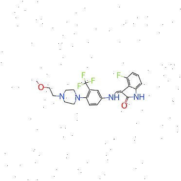 COCCN1CCN(c2ccc(NC=C3C(=O)Nc4cccc(F)c43)cc2C(F)(F)F)CC1